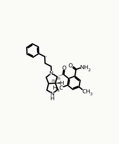 Cc1cc(C)c(C(=O)[C@@H]2[C@@H]3CNCC3CN2CC[CH]c2ccccc2)c(C(N)=O)c1